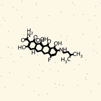 CC(C)CCNc1cc(F)c2c(c1O)C(=O)C1=C(O)[C@]3(O)C(=O)C(C(N)=O)=C(O)C[C@@H]3CC1C2